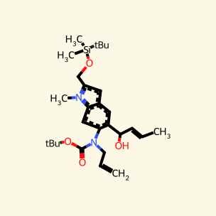 C=CCN(C(=O)OC(C)(C)C)c1cc2c(cc1C(O)C=CC)cc(CO[Si](C)(C)C(C)(C)C)n2C